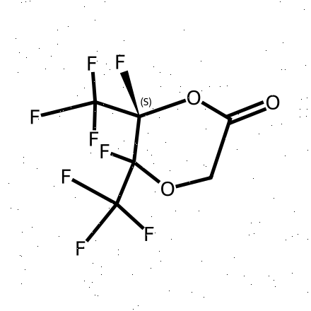 O=C1COC(F)(C(F)(F)F)[C@](F)(C(F)(F)F)O1